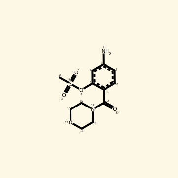 CS(=O)(=O)Oc1cc(N)ccc1C(=O)N1CCOCC1